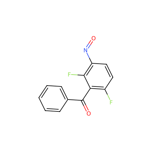 O=Nc1ccc(F)c(C(=O)c2ccccc2)c1F